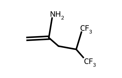 C=C(N)CC(C(F)(F)F)C(F)(F)F